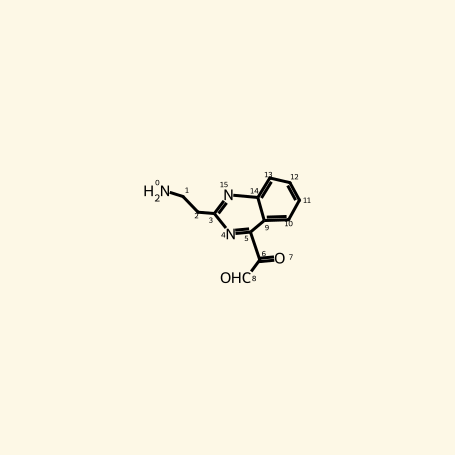 NCCc1nc(C(=O)C=O)c2ccccc2n1